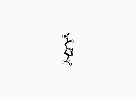 CNC(=O)Cn1cc([N+](=O)[O-])cn1